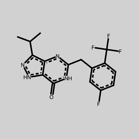 CC(C)c1n[nH]c2c(=O)[nH]c(Cc3cc(F)ccc3C(F)(F)F)nc12